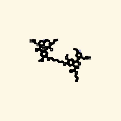 C=CCOC(=O)Nc1cc(OCCCCCOc2cc(NC(=O)OCC=C)c(C(=O)N3C/C(=C\C)C[C@H]3CO)cc2OC)c(OC)cc1C(=O)N1C/C(=C\C)C[C@H]1CO